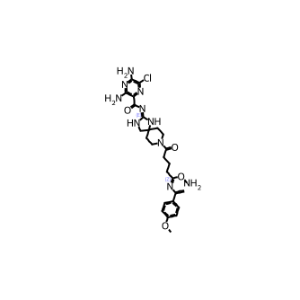 C=C(/N=C(/CCCC(=O)N1CCC2(CC1)CN/C(=N\C(=O)c1nc(Cl)c(N)nc1N)N2)ON)c1ccc(OC)cc1